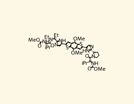 CC[C@@H](c1ncc(-c2cc3c(OC)c4sc(-c5cnc([C@@H]6CCCN6C(=O)[C@@H](NC(=O)OC)C(C)C)[nH]5)cc4c(OC)c3s2)[nH]1)N(CC)C(=O)[C@@H](NC(=O)OC)C(C)C